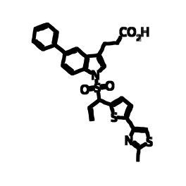 C=CC(c1ccc(-c2csc(C)n2)s1)S(=O)(=O)n1cc(CCC(=O)O)c2cc(-c3ccccc3)ccc21